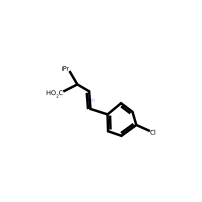 CC(C)C(/C=C/c1ccc(Cl)cc1)C(=O)O